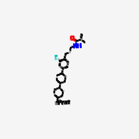 C=C(C)C(=O)NCCCc1ccc(C2CCC(C3CCC(CCCCC)CC3)CC2)cc1F